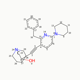 OC1(C#Cc2ccc(N3CCCCC3)nc2Cc2ccccc2)CN2CCC1CC2